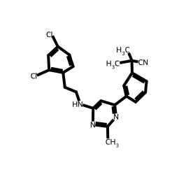 Cc1nc(NCCc2ccc(Cl)cc2Cl)cc(-c2cccc(C(C)(C)C#N)c2)n1